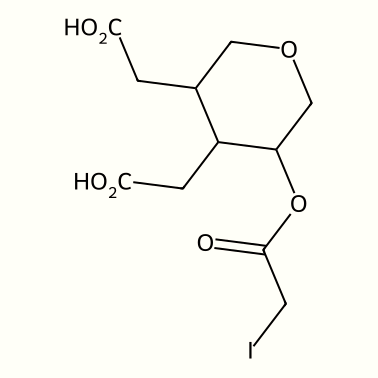 O=C(O)CC1COCC(OC(=O)CI)C1CC(=O)O